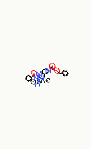 COc1ccccc1C(=O)Nc1ncc2c(n1)CCN(C(=O)COCc1ccccc1)C2